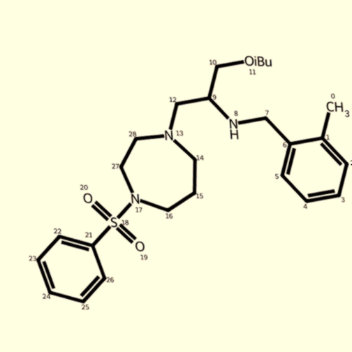 Cc1ccccc1CNC(COCC(C)C)CN1CCCN(S(=O)(=O)c2ccccc2)CC1